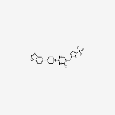 O=c1nc(N2CC=C(c3ccc4ocnc4c3)CC2)ncn1Cc1ccc(C(F)(F)F)s1